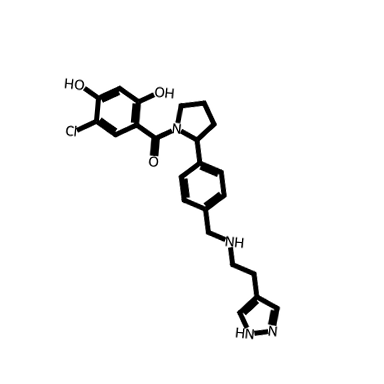 O=C(c1cc(Cl)c(O)cc1O)N1CCCC1c1ccc(CNCCc2cn[nH]c2)cc1